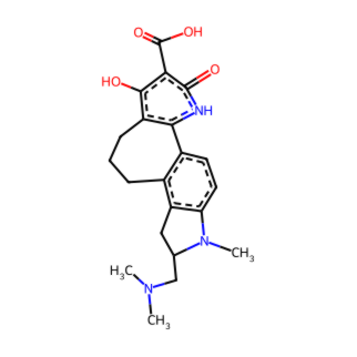 CN(C)CC1Cc2c(ccc3c2CCCc2c-3[nH]c(=O)c(C(=O)O)c2O)N1C